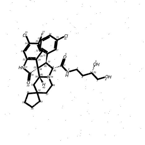 O=C(NCC[C@H](O)CO)[C@H]1[C@H](c2cccc(Cl)c2)[C@@]2(C(=O)Nc3cc(Cl)c(F)cc32)[C@H]2CC3(CCCC3)CCN12